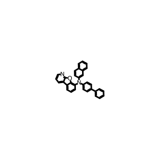 c1ccc(-c2ccc(N(c3ccc4ccccc4c3)c3cccc4c3oc3ncccc34)cc2)cc1